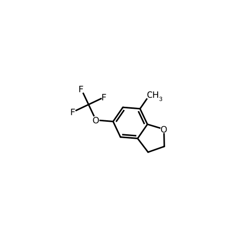 Cc1cc(OC(F)(F)F)cc2c1OCC2